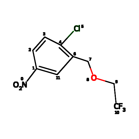 O=[N+]([O-])c1ccc(Cl)c(COCC(F)(F)F)c1